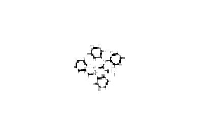 NC(=NN(Cc1ccccc1)c1ccccc1)N(c1ccccc1)c1ccccc1